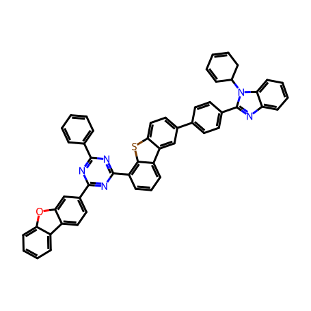 C1=CCC(n2c(-c3ccc(-c4ccc5sc6c(-c7nc(-c8ccccc8)nc(-c8ccc9c(c8)oc8ccccc89)n7)cccc6c5c4)cc3)nc3ccccc32)C=C1